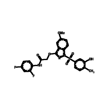 COc1ccc2c(c1)c(OCC(=O)Nc1ccc(F)cc1F)nn2S(=O)(=O)c1ccc(C)c(O)c1